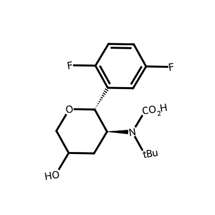 CC(C)(C)N(C(=O)O)[C@H]1CC(O)CO[C@@H]1c1cc(F)ccc1F